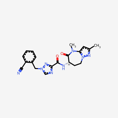 Cc1cc2n(n1)CC[C@H](NC(=O)c1ncn(Cc3ccccc3C#N)n1)C(=O)N2C